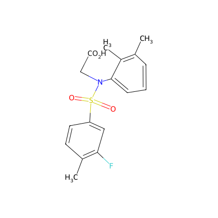 Cc1ccc(S(=O)(=O)N(CC(=O)O)c2cccc(C)c2C)cc1F